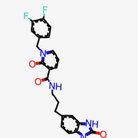 O=C(NCCCc1ccc2[nH]c(=O)[nH]c2c1)c1cccn(Cc2ccc(F)c(F)c2)c1=O